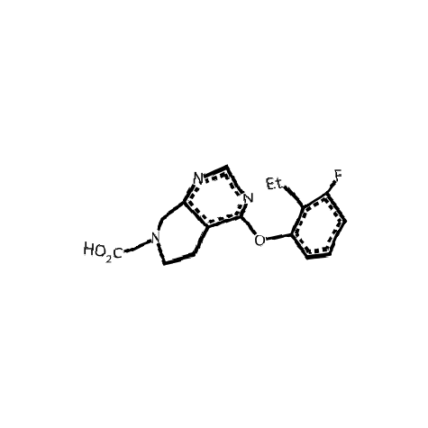 CCc1c(F)cccc1Oc1ncnc2c1CCN(C(=O)O)C2